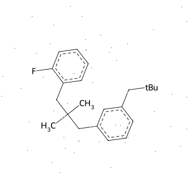 CC(C)(C)Cc1cccc(CC(C)(C)Cc2ccccc2F)c1